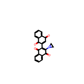 O=C1C=C(C2=C(N3CC3)C(=O)c3ccccc3C2=O)C(=O)c2ccccc21